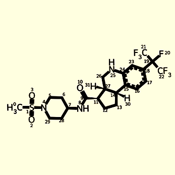 CS(=O)(=O)N1CCC(NC(=O)[C@@H]2CC[C@H]3c4ccc(C(F)(C(F)(F)F)C(F)(F)F)cc4NC[C@@H]23)CC1